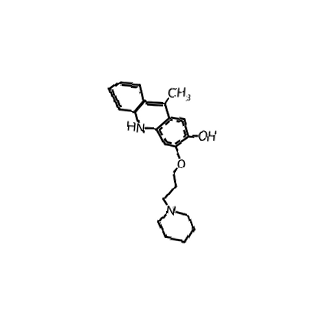 CC1=C2C=CC=CC2Nc2cc(OCCCN3CCCCC3)c(O)cc21